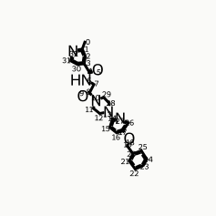 Cc1cc(C(=O)NCC(=O)N2CCN(c3ccc(OCc4ccccc4)cn3)CC2)ccn1